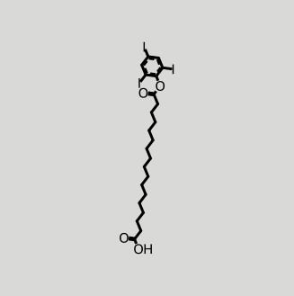 O=C(O)CCCCCCCCCCCCCCCC(=O)Oc1c(I)cc(I)cc1I